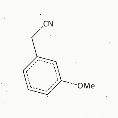 COc1[c]ccc(CC#N)c1